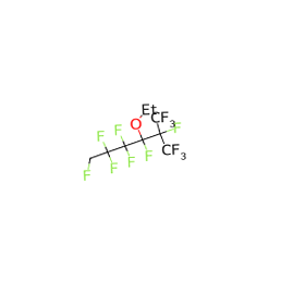 CCOC(F)(C(F)(F)C(F)(F)CF)C(F)(C(F)(F)F)C(F)(F)F